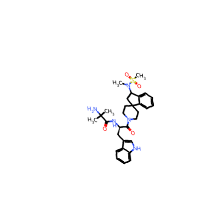 CN(C1CC2(CCN(C(=O)[C@@H](Cc3c[nH]c4ccccc34)NC(=O)C(C)(C)N)CC2)c2ccccc21)S(C)(=O)=O